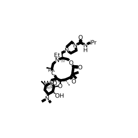 CCN1C[C@H](C)C[C@@](C)(OC)[C@H](O[C@@H]2O[C@H](C)C[C@H](N(C)C)[C@H]2O)[C@@H](C)C(=O)C(C)(C)C(=O)OC[C@@H]1CN1CCN(C(=O)NC(C)C)CC1